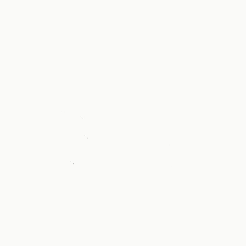 Cc1noc(-c2ccc(-c3ccc(C4(C(=O)O)CC4)cc3)cc2)c1NC(=O)N[S+]([O-])c1ccccc1